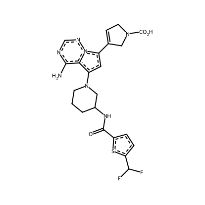 Nc1ncnn2c(C3=CCN(C(=O)O)C3)cc(N3CCCC(NC(=O)c4ccc(C(F)F)s4)C3)c12